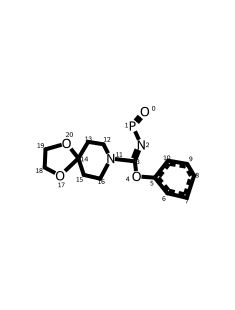 O=P/N=C(/Oc1ccccc1)N1CCC2(CC1)OCCO2